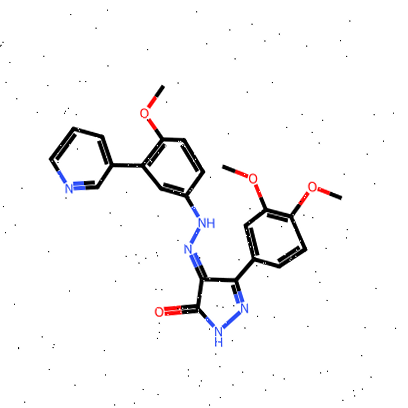 COc1ccc(C2=NNC(=O)/C2=N/Nc2ccc(OC)c(-c3cccnc3)c2)cc1OC